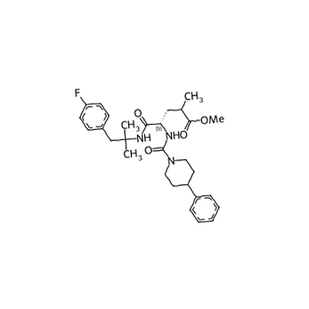 COC(=O)C(C)C[C@H](NC(=O)N1CCC(c2ccccc2)CC1)C(=O)NC(C)(C)Cc1ccc(F)cc1